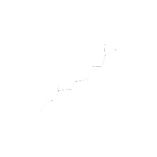 CCOC(=O)CCNCCC1CC1